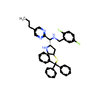 CCCc1cnc(C(NCc2cc(F)ccc2F)[C@@H]2C[C@@H](SC(c3ccccc3)(c3ccccc3)c3ccccc3)CN2)nc1